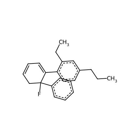 CCCc1ccc(C2=CC=CCC2(F)c2ccccc2)c(CC)c1